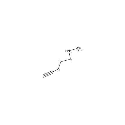 [C]#CCCCNC